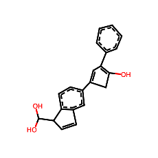 OC1=C(c2ccccc2)C=C(c2ccc3c(c2)C=CC3C(O)O)C1